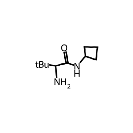 CC(C)(C)C(N)C(=O)NC1CCC1